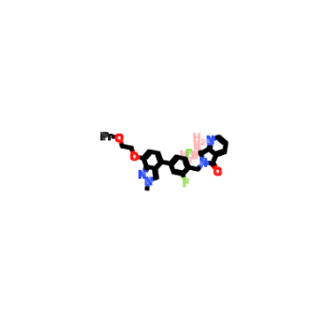 BC1(B)c2ncccc2C(=O)N1Cc1c(F)cc(-c2ccc(OCCOC(C)C)c3nn(C)cc23)cc1F